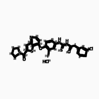 Cl.O=C(Cc1cccc(Cl)c1)NC(=S)Nc1ccc(Oc2ccnc3cc(C(=O)N4CCCC4)sc23)c(F)c1